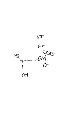 O=C([O-])[O-].OB(O)O.[Na+].[Na+]